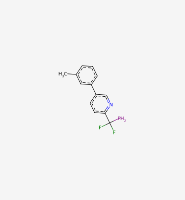 Cc1cccc(-c2ccc(C(F)(F)P)nc2)c1